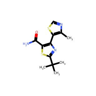 Cc1n[c]sc1-c1nc(C(C)(C)C)sc1C(N)=O